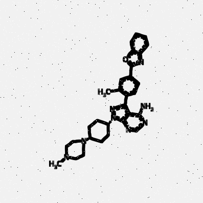 Cc1cc(-c2nc3ccccc3o2)ccc1-c1nn([C@H]2CC[C@H](N3CCN(C)CC3)CC2)c2ncnc(N)c12